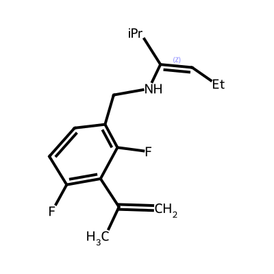 C=C(C)c1c(F)ccc(CN/C(=C\CC)C(C)C)c1F